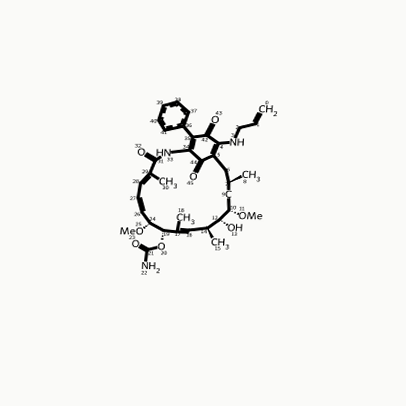 C=CCNC1=C2C[C@@H](C)C[C@H](OC)[C@H](O)[C@@H](C)/C=C(\C)[C@H](OC(N)=O)[C@H](OC)/C=C\C=C(/C)C(=O)NC(=C(c3ccccc3)C1=O)C2=O